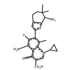 Cc1c(-c2cc3c(s2)C(N)C(C)(C)CC3)c(F)c(N)c2c(=O)c(C(=O)O)cn(C3CC3)c12